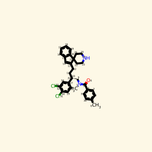 Cc1ccc(C(=O)N(C)C[C@@H](CCC2=Cc3ccccc3C23CCNCC3)c2ccc(Cl)c(Cl)c2)cc1